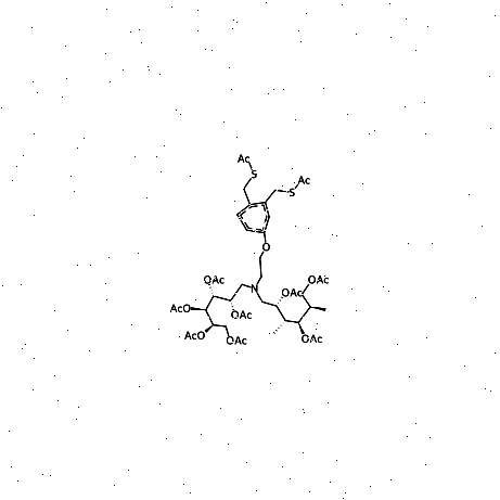 CC(=O)OC[C@@H](C)[C@@H](OC(C)=O)[C@H](C)[C@H](CN(CCOc1ccc(CSC(C)=O)c(CSC(C)=O)c1)C[C@H](OC(C)=O)[C@@H](OC(C)=O)[C@H](OC(C)=O)[C@@H](COC(C)=O)OC(C)=O)OC(C)=O